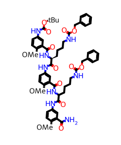 COc1ccc(NC(=O)C(CCCCNC(=O)OCc2ccccc2)NC(=O)c2cc(NC(=O)[C@H](CCCCNC(=O)OCc3ccccc3)NC(=O)c3cc(NC(=O)OC(C)(C)C)ccc3OC)ccc2OC)cc1C(N)=O